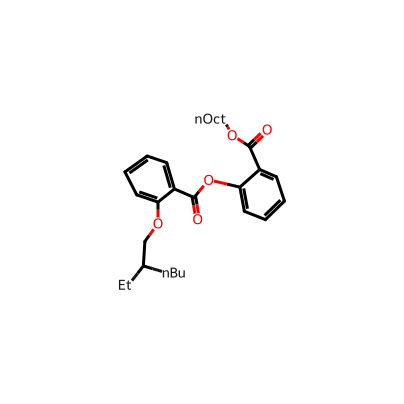 CCCCCCCCOC(=O)c1ccccc1OC(=O)c1ccccc1OCC(CC)CCCC